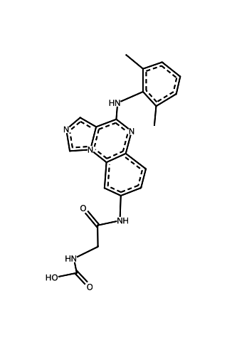 Cc1cccc(C)c1Nc1nc2ccc(NC(=O)CNC(=O)O)cc2n2cncc12